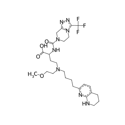 COCCN(CCCCc1ccc2c(n1)NCCC2)CCC(NC(=O)N1CCn2c(nnc2C(F)(F)F)C1)C(=O)O